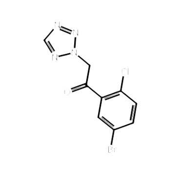 O=C(Cn1ncnn1)c1cc(Br)ccc1Cl